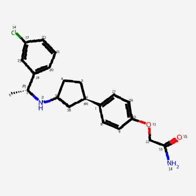 C[C@@H](NC1CC[C@@H](c2ccc(OCC(N)=O)cc2)C1)c1cccc(Cl)c1